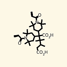 C=CC(=O)N1C(C)(C)CC(C(C(=O)O)(C2CC(C)(C)N(C(=O)C=C)C(C)(C)C2)C(C)(C)C(C)CC(=O)O)CC1(C)C